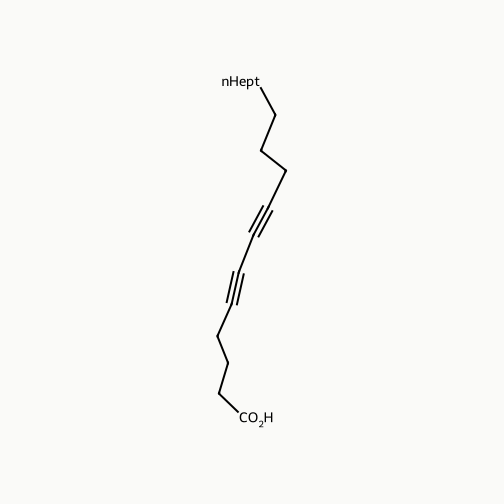 CCCCCCCCCCC#CC#CCCCC(=O)O